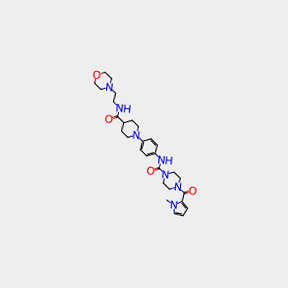 Cn1cccc1C(=O)N1CCN(C(=O)Nc2ccc(N3CCC(C(=O)NCCN4CCOCC4)CC3)cc2)CC1